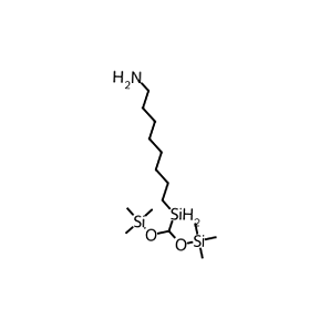 C[Si](C)(C)OC(O[Si](C)(C)C)[SiH2]CCCCCCCCN